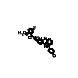 COc1ccc(F)cc1C(=O)NCc1ccc(-c2nn(C3CCC(=O)CC3)c3ccnc(N)c23)cc1